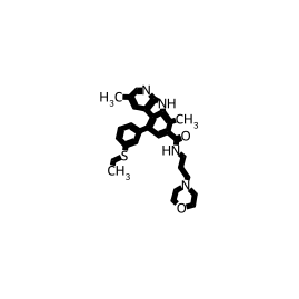 CCSc1cccc(-c2cc(C(=O)NCCCN3CCOCC3)c(C)c3[nH]c4ncc(C)cc4c23)c1